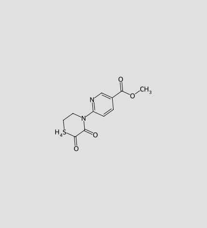 COC(=O)c1ccc(N2CC[SH4]C(=O)C2=O)nc1